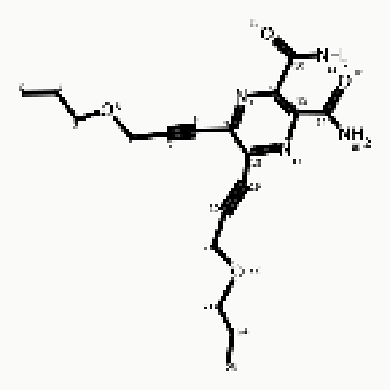 CCCOCC#Cc1nc(C(N)=O)c(C(N)=O)nc1C#CCOCCC